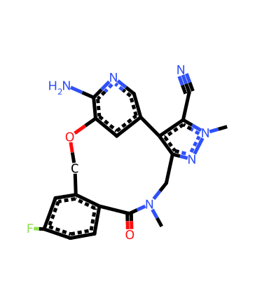 CN1Cc2nn(C)c(C#N)c2-c2cnc(N)c(c2)OCc2cc(F)ccc2C1=O